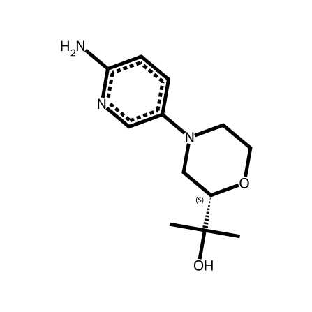 CC(C)(O)[C@@H]1CN(c2ccc(N)nc2)CCO1